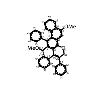 COC(=O)c1c2c(c3cc(OC)c4ccccc4c3c1-c1ccccc1)OCC(c1ccccc1)=C2c1ccccc1